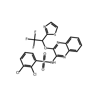 O=S(=O)(Nc1nc2ccccc2nc1OC(c1nccs1)C(F)(F)F)c1cccc(Cl)c1Cl